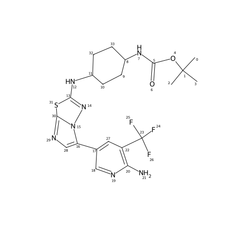 CC(C)(C)OC(=O)NC1CCC(Nc2nn3c(-c4cnc(N)c(C(F)(F)F)c4)cnc3s2)CC1